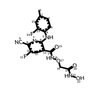 Cc1ccc(Nc2nc(C#N)c(F)cc2C(=O)NOCC(=O)NO)c(F)c1